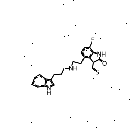 O=C1Nc2c(F)ccc(CCNCCCc3c[nH]c4ccccc34)c2C1C=S